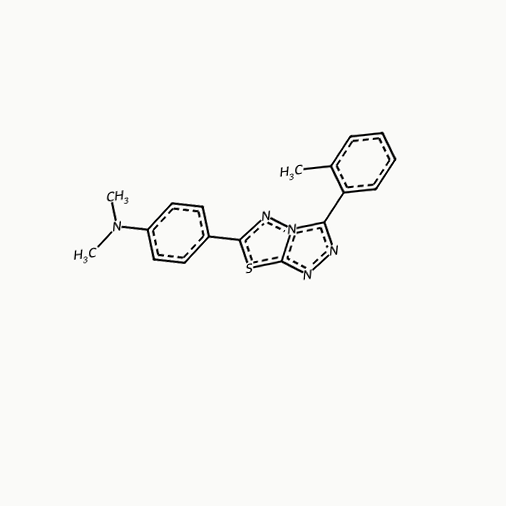 Cc1ccccc1-c1nnc2sc(-c3ccc(N(C)C)cc3)nn12